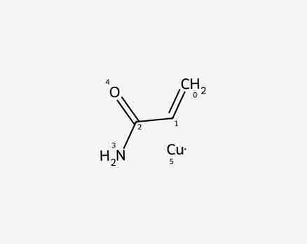 C=CC(N)=O.[Cu]